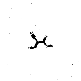 COC(=O)C(C#N)=CCl